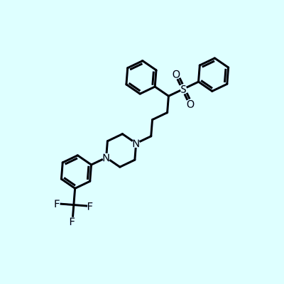 O=S(=O)(c1ccccc1)C(CCCN1CCN(c2cccc(C(F)(F)F)c2)CC1)c1ccccc1